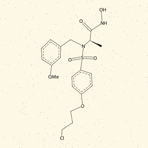 COc1cccc(CN([C@H](C)C(=O)NO)S(=O)(=O)c2ccc(OCCCCl)cc2)c1